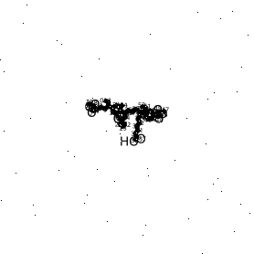 CCC(CCCS(=O)(=O)OC)c1cc(C)c2c(c1)OC(C(C)(C)C)=C/C2=C\C=C\C1=[N+](CCCCCC(=O)O)c2ccc(S(=O)(=O)OC)cc2C1(C)C